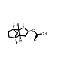 O=C(O)O[C@H]1C[C@@H]2[C@H]3CC[C@H](C3)[C@@H]2N1